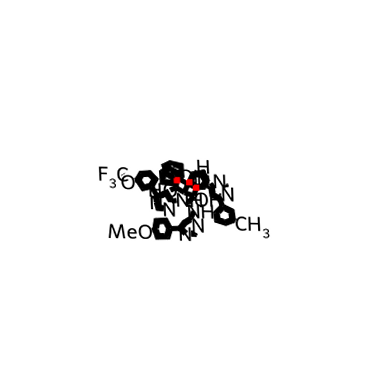 COc1ccc(-c2cc(NCC(O)(c3ccccc3)C(Nc3cc(-c4cccc(OC(F)(F)F)c4)ncn3)(C(O)c3ccccc3)C(O)(CNc3cc(-c4cccc(C)c4)ncn3)c3ccccc3)ncn2)cc1